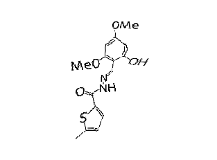 COc1cc(O)c(C=NNC(=O)c2ccc(C)s2)c(OC)c1